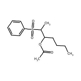 CCCCC(OC(C)=O)C(C)S(=O)(=O)c1ccccc1